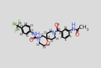 CC(=O)Nc1cccc(C(=O)N2CCC3(CC2)CN(C(=O)Nc2ccc(C(F)(F)F)cc2)CCO3)c1